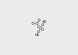 C1=CCC(c2ccc(-c3c4ccccc4c(-c4ccc(-c5ccccn5)cc4)c4cc(-c5cc(-c6ccccc6)cc(-c6ccccc6)c5)ccc34)cc2)N=C1